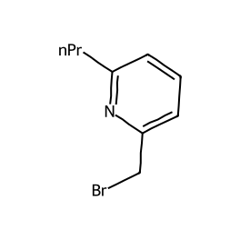 CCCc1cccc(CBr)n1